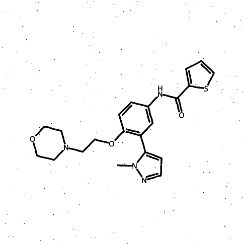 Cn1nccc1-c1cc(NC(=O)c2cccs2)ccc1OCCN1CCOCC1